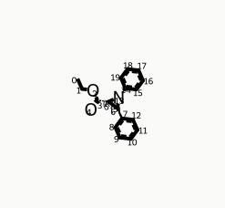 CCOC(=O)[C@H]1[C@H](c2ccccc2)N1c1ccccc1